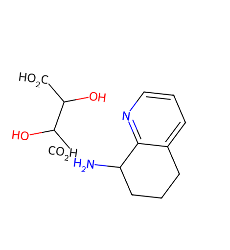 NC1CCCc2cccnc21.O=C(O)C(O)C(O)C(=O)O